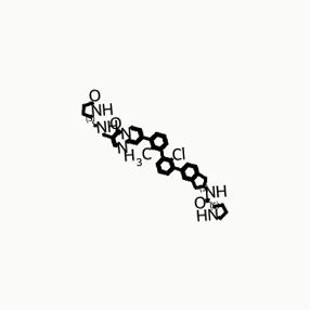 Cc1c(-c2ccn3c(=O)c(CNC[C@@H]4CCC(=O)N4)cnc3c2)cccc1-c1cccc(-c2ccc3c(c2)C[C@@H](NC(=O)[C@@H]2CCCN2)C3)c1Cl